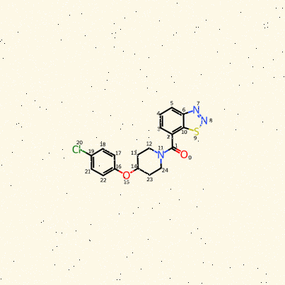 O=C(c1cccc2nnsc12)N1CCC(Oc2ccc(Cl)cc2)CC1